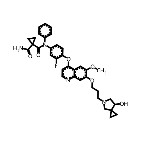 COc1cc2c(Oc3ccc(N(C(=O)C4(C(N)=O)CC4)c4ccccc4)cc3F)ccnc2cc1OCCCN1CC(O)C2(CC2)C1